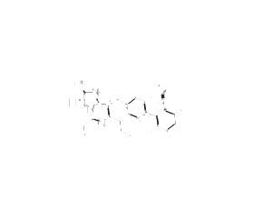 CCCc1nc(CC)n2[nH]c(=O)nc2c1Cc1ccc(-c2ccccc2C#N)cc1